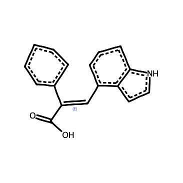 O=C(O)/C(=C/c1cccc2[nH]ccc12)c1ccccc1